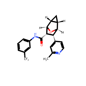 Cc1cc([C@H]2[C@H]3O[C@H]([C@@H]4C[C@@H]43)[C@H]2C(=O)Nc2cccc(C(F)(F)F)c2)ccn1